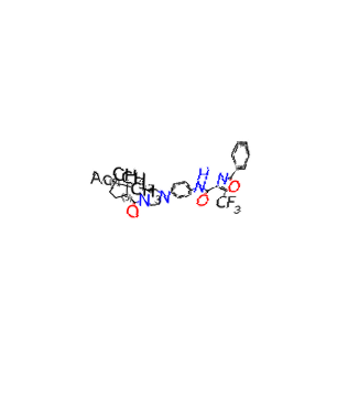 CC(=O)[C@]1(C)CC[C@H](C(=O)N2CCN(c3ccc(NC(=O)c4nc(-c5ccccc5)oc4C(F)(F)F)cc3)CC2)C1(C)C